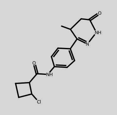 CC1CC(=O)NN=C1c1ccc(NC(=O)C2CCC2Cl)cc1